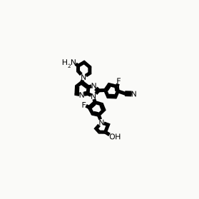 N#Cc1ccc(-c2nc3c(N4CCCC(N)C4)ccnc3n2-c2ccc(N3CCC(O)C3)cc2F)cc1F